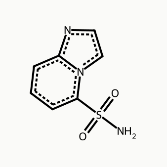 NS(=O)(=O)c1cccc2nccn12